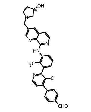 Cc1c(Nc2nccc3cc(CN4CC[C@@H](O)C4)cnc23)cccc1-c1nccc(-c2ccc(C=O)cc2)c1Cl